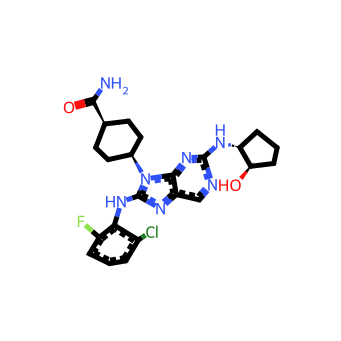 NC(=O)[C@H]1CC[C@@H](n2c(Nc3c(F)cccc3Cl)nc3cnc(N[C@@H]4CCC[C@H]4O)nc32)CC1